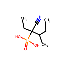 CCC(C)C(C#N)(CC)P(=O)(O)O